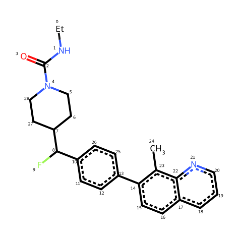 CCNC(=O)N1CCC(C(F)c2ccc(-c3ccc4cccnc4c3C)cc2)CC1